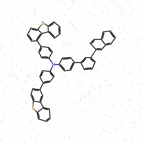 c1cc(-c2ccc(N(c3ccc(-c4ccc5sc6ccccc6c5c4)cc3)c3ccc(-c4cccc5sc6ccccc6c45)cc3)cc2)cc(-c2ccc3ccccc3c2)c1